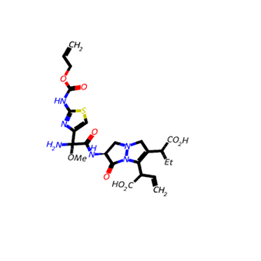 C=CCOC(=O)Nc1nc(C(N)(OC)C(=O)N[C@H]2CN3CC(C(CC)C(=O)O)=C(C(C=C)C(=O)O)N3C2=O)cs1